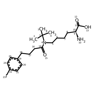 CC(C)(C)N(CCCC[C@H](N)C(=O)O)C(=O)CCCc1ccc(I)cc1